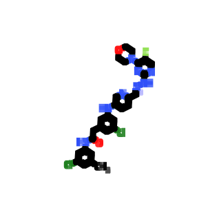 Cc1cc(Cl)cc(NC(=O)Cc2cc(Cl)cc(Nc3ccc(/C=N/Nc4ncc(F)c(N5CCOCC5)n4)nc3)c2)c1